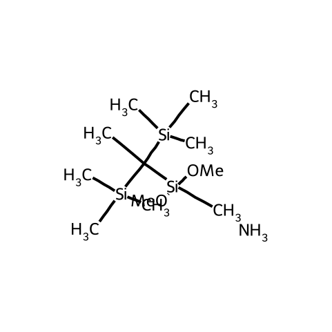 CO[Si](C)(OC)C(C)([Si](C)(C)C)[Si](C)(C)C.N